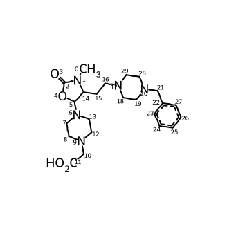 CN1C(=O)OC(N2CCN(CC(=O)O)CC2)C1CCN1CCN(Cc2ccccc2)CC1